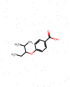 CCC(Oc1ccc(C(=O)O)cc1)C(C)C